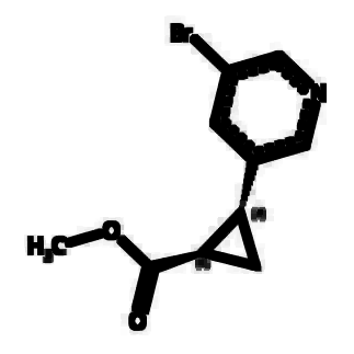 COC(=O)[C@@H]1C[C@H]1c1cncc(Br)c1